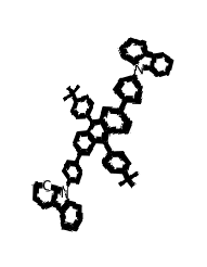 CC(C)(C)c1ccc(-c2c3ccc(-c4ccc(-n5c6ccccc6c6ccccc65)cc4)cc3c(-c3ccc(C(C)(C)C)cc3)c3ccc(-c4ccc(-n5c6ccccc6c6ccccc65)cc4)cc23)cc1